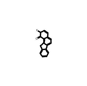 O=C1c2c(ccc3c2Cc2ccccc2-3)C=CC1F